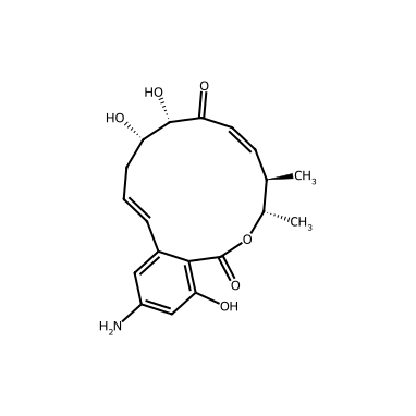 C[C@@H]1/C=C\C(=O)[C@@H](O)[C@@H](O)C/C=C/c2cc(N)cc(O)c2C(=O)O[C@H]1C